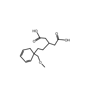 COCC1(CCC(CC(=O)O)CC(=O)O)C=CC=CC1